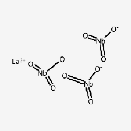 [La+3].[O]=[Nb](=[O])[O-].[O]=[Nb](=[O])[O-].[O]=[Nb](=[O])[O-]